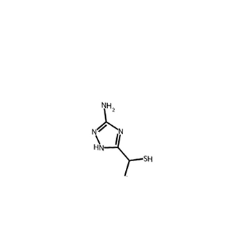 [CH2]C(S)c1nc(N)n[nH]1